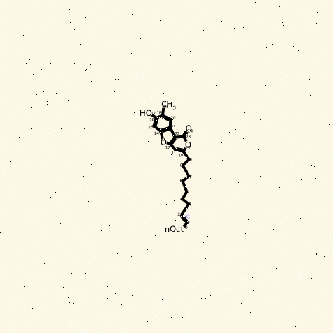 CCCCCCCC/C=C/CCCCCCCc1cc2oc3cc(O)c(C)cc3c2c(=O)o1